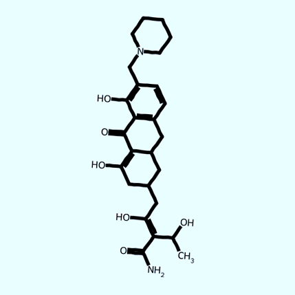 CC(O)/C(C(N)=O)=C(/O)CC1CC(O)=C2C(=O)c3c(ccc(CN4CCCCC4)c3O)CC2C1